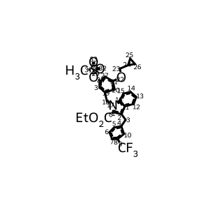 CCOC(=O)c1c(Cc2cccc(C(F)(F)F)c2)c2ccccc2n1Cc1cc(OCC2CC2)cc(OS(C)(=O)=O)c1